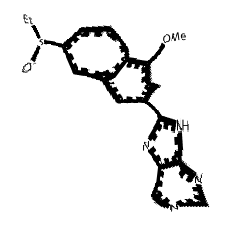 CC[S+]([O-])c1ccc2c(OC)cc(-c3nc4cncnc4[nH]3)cc2c1